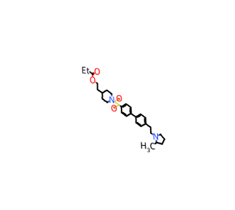 CCC(=O)OCCC1CCN(S(=O)(=O)c2ccc(-c3ccc(CCN4CCCC4C)cc3)cc2)CC1